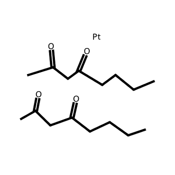 CCCCC(=O)CC(C)=O.CCCCC(=O)CC(C)=O.[Pt]